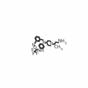 CC(CCN)N1CCC(N(Cc2cccc(C#N)c2)c2ccc(NC(=O)C(F)(F)F)cc2)CC1